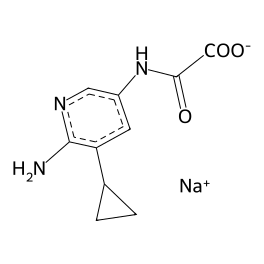 Nc1ncc(NC(=O)C(=O)[O-])cc1C1CC1.[Na+]